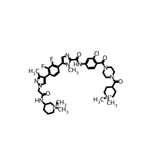 Cc1nn(CC(=O)NC2CCC[N+](C)(C)C2)cc1-c1ccc(-c2cnc(C(=O)Nc3ccc(C(=O)N4CCN(C(=O)C5CC[N+](C)(C)CC5)CC4)c(Cl)c3)n2C)c(F)c1F